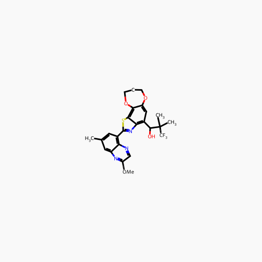 COc1cnc2c(-c3nc4c(C(O)C(C)(C)C(F)(F)F)cc5c(c4s3)OCCCO5)cc(C)cc2n1